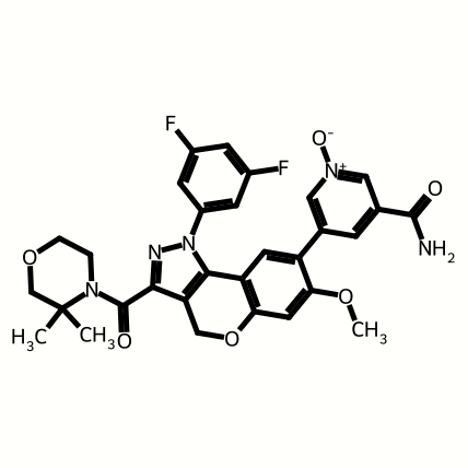 COc1cc2c(cc1-c1cc(C(N)=O)c[n+]([O-])c1)-c1c(c(C(=O)N3CCOCC3(C)C)nn1-c1cc(F)cc(F)c1)CO2